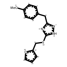 COc1ccc(Cc2n[nH]c(SCc3ccco3)n2)cc1